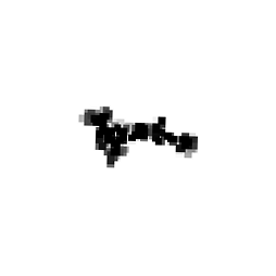 CNC(=O)c1csc2c(C(F)(F)F)cc(OC3(C)CN(C(=O)OCCOC(F)(F)F)C3)nc12